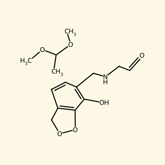 COC(C)OC.O=CCNCc1ccc2c(c1O)OOC2